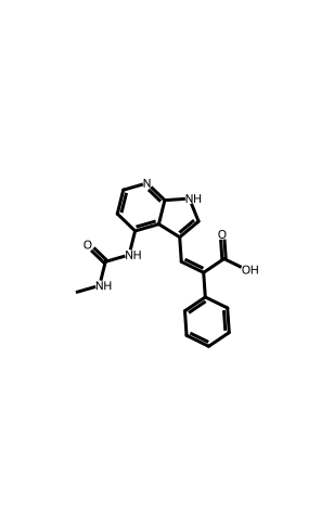 CNC(=O)Nc1ccnc2[nH]cc(C=C(C(=O)O)c3ccccc3)c12